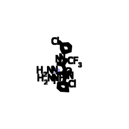 N/N=C(\NN)c1c(-c2c(F)cccc2Cl)noc1-c1cnn(-c2cccc(Cl)c2)c1C(F)(F)F